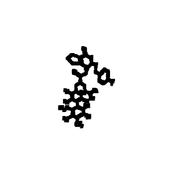 [2H]c1c([2H])c(-c2c([2H])c([2H])c(C(F)(F)F)c([2H])c2C)c([2H])c([2H])c1CN(CCN(CC)CC)C(=O)Cn1c(SCc2ccc(F)cc2)nc(=O)c2c1CCC2